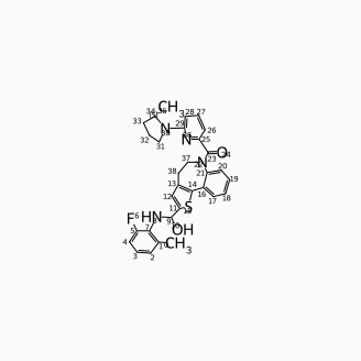 Cc1cccc(F)c1NC(O)c1cc2c(s1)-c1ccccc1N(C(=O)c1cccc(N3CCC[C@@H]3C)n1)CC2